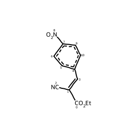 CCOC(=O)C(C#N)=Cc1ccc([N+](=O)[O-])cc1